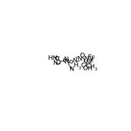 CC(C)(O)c1cc(C(=O)N2CCN([C@H]3C[C@](CC#N)(n4cc(-c5ccnc6[nH]ccc56)cn4)C3)CC2)nc(C(F)(F)F)n1